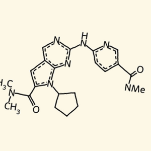 CNC(=O)c1ccc(Nc2ncc3cc(C(=O)N(C)C)n(C4CCCC4)c3n2)nc1